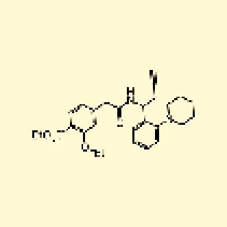 C#CCC(NC(=O)Cc1ccc(C(=O)OCC)c(OCC)c1)c1ccccc1N1CCCCC1